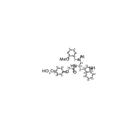 COc1ccccc1CN(C[C@@H](Cc1c[nH]c2ccccc12)NC(=O)COc1ccc(C(=O)O)cc1)C(C)=O